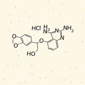 Cl.Nc1nc(N)c2c(OC(CO)c3ccc4c(c3)OCO4)cccc2n1